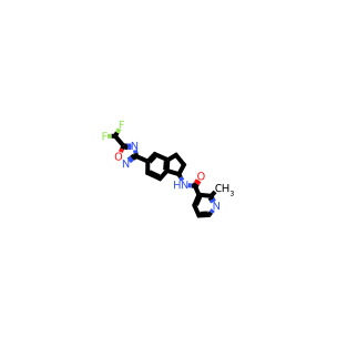 Cc1ncccc1C(=O)NC1CCc2cc(-c3noc(C(F)F)n3)ccc21